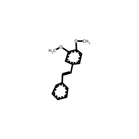 COc1c[c]c(C=Cc2ccccc2)cc1OC